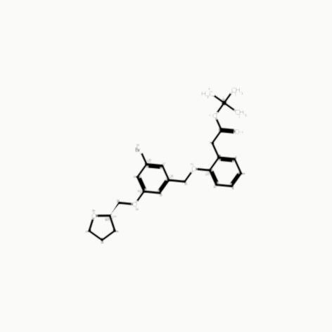 CC(C)(C)OC(=O)Cc1ccccc1OCc1cc(Br)cc(OC[C@H]2CCCO2)c1